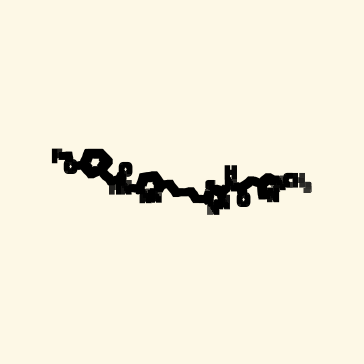 Cn1cc(CC(=O)Nc2nnc(CCCCc3ccc(NC(=O)Cc4cccc(OCF)c4)nn3)s2)cn1